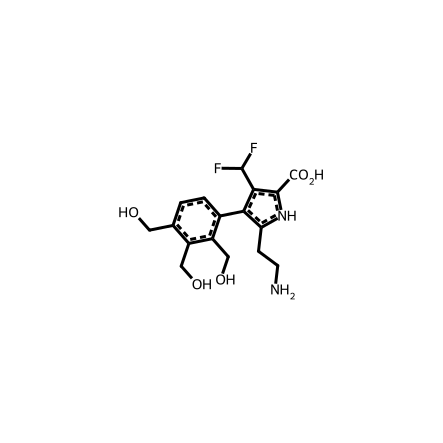 NCCc1[nH]c(C(=O)O)c(C(F)F)c1-c1ccc(CO)c(CO)c1CO